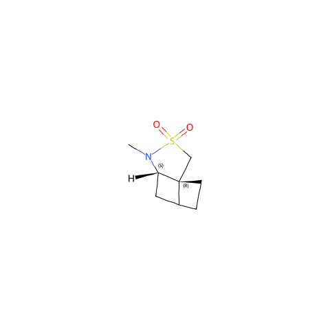 CN1[C@H]2CC3CC[C@@]32CS1(=O)=O